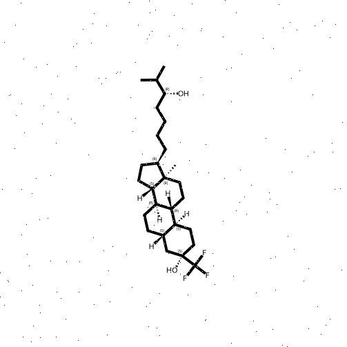 CC(C)[C@H](O)CCCC[C@@H]1CC[C@H]2[C@@H]3CC[C@H]4C[C@](O)(C(F)(F)F)CC[C@@H]4[C@H]3CC[C@]12C